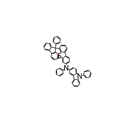 c1ccc2c(c#1)C(c1ccccc1)(c1cccc3c1sc1cc(N(c4ccccc4)c4ccc5c(c4)c4ccccc4n5-c4ccccc4)ccc13)c1ccccc1-2